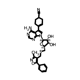 Cc1noc(-c2ccccc2)c1CSC[C@H]1O[C@@H](n2cc(C3=CCC(C#N)CC3)c3c(N)ncnc32)[C@H](O)[C@@H]1O